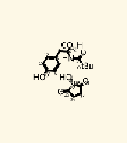 CC(C)(C)C(=O)NC(Cc1ccc(O)cc1)C(=O)O.O=C1CCC(=O)N1O